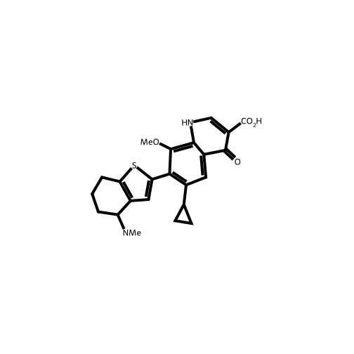 CNC1CCCc2sc(-c3c(C4CC4)cc4c(=O)c(C(=O)O)c[nH]c4c3OC)cc21